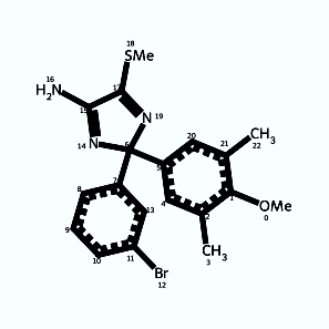 COc1c(C)cc(C2(c3cccc(Br)c3)N=C(N)C(SC)=N2)cc1C